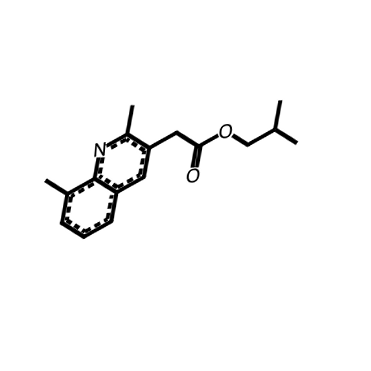 Cc1nc2c(C)cccc2cc1CC(=O)OCC(C)C